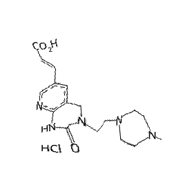 CN1CCN(CCN2Cc3cc(/C=C/C(=O)O)cnc3NC2=O)CC1.Cl